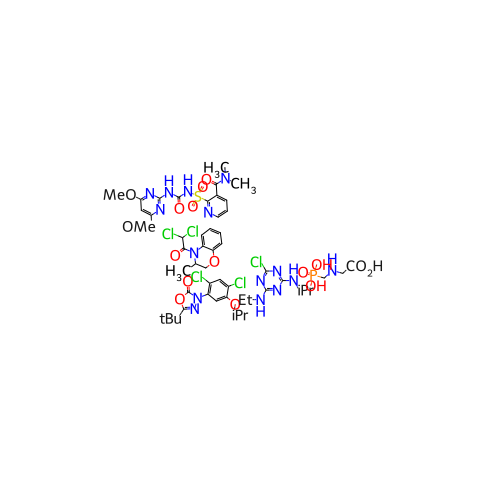 CC(C)Oc1cc(-n2nc(C(C)(C)C)oc2=O)c(Cl)cc1Cl.CC1COc2ccccc2N1C(=O)C(Cl)Cl.CCNc1nc(Cl)nc(NC(C)C)n1.COc1cc(OC)nc(NC(=O)NS(=O)(=O)c2ncccc2C(=O)N(C)C)n1.O=C(O)CNCP(=O)(O)O